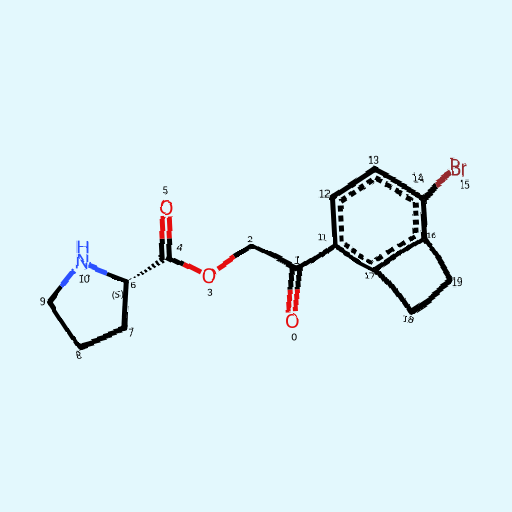 O=C(COC(=O)[C@@H]1CCCN1)c1ccc(Br)c2c1CC2